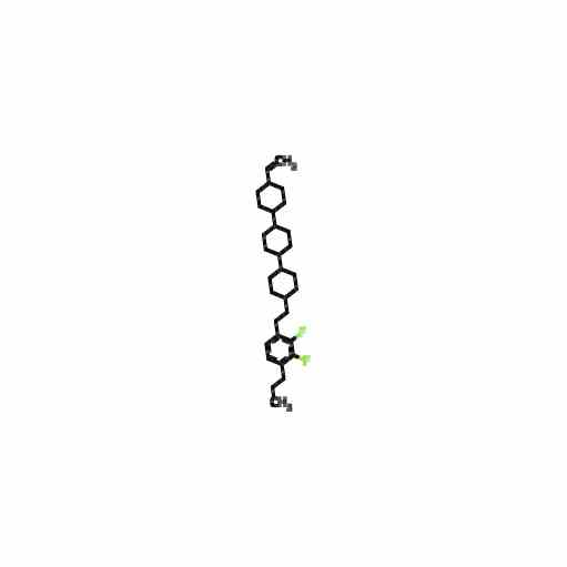 C=CC1CCC(C2CCC(C3CCC(CCc4ccc(CCC)c(F)c4F)CC3)CC2)CC1